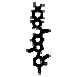 O=C1CCC(N2Cc3cc(C(=O)N4CCC5(CCC(F)(F)CC5)C4)ccc3C2=O)C(=O)N1